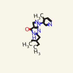 CCC(CC)Cc1nc2c(cnn2-c2cnccc2C)c(=O)[nH]1